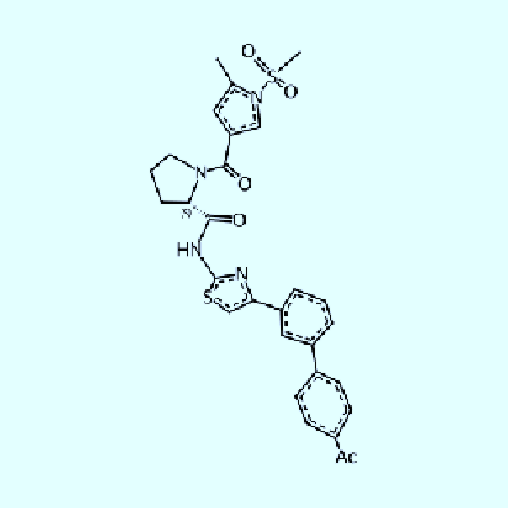 CC(=O)c1ccc(-c2cccc(-c3csc(NC(=O)[C@@H]4CCCN4C(=O)c4cc(C)n(S(C)(=O)=O)c4)n3)c2)cc1